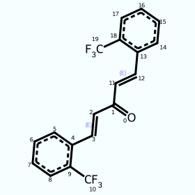 O=C(/C=C/c1ccccc1C(F)(F)F)/C=C/c1ccccc1C(F)(F)F